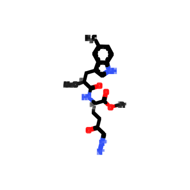 CO[C@@H](Cc1c[nH]c2ccc(C)cc12)C(=O)N[C@@H](CCC(=O)C=[N+]=[N-])C(=O)OC(C)C